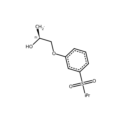 [CH2][C@H](O)COc1cccc(S(=O)(=O)C(C)C)c1